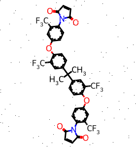 CC(C)(c1ccc(Oc2ccc(N3C(=O)C=CC3=O)c(C(F)(F)F)c2)c(C(F)(F)F)c1)c1ccc(Oc2ccc(N3C(=O)C=CC3=O)c(C(F)(F)F)c2)c(C(F)(F)F)c1